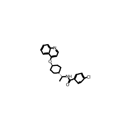 CC(NC(=O)c1ccc(Cl)cc1)[C@H]1CC[C@H](Oc2ccnc3ccccc23)CC1